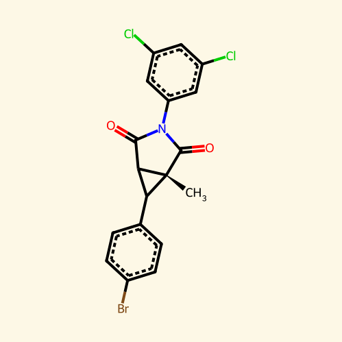 C[C@]12C(=O)N(c3cc(Cl)cc(Cl)c3)C(=O)C1C2c1ccc(Br)cc1